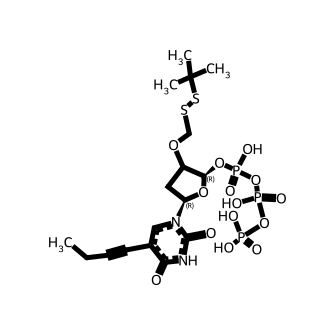 CCC#Cc1cn([C@H]2CC(OCSSC(C)(C)C)[C@@H](OP(=O)(O)OP(=O)(O)OP(=O)(O)O)O2)c(=O)[nH]c1=O